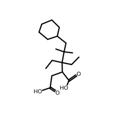 CCC(CC)(C(CC(=O)O)C(=O)O)C(C)(C)CC1CCCCC1